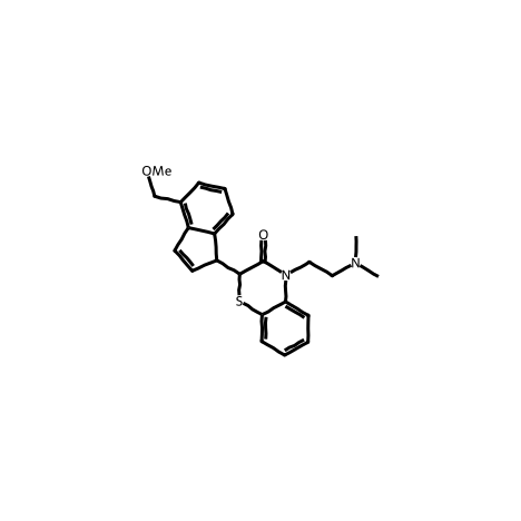 COCc1cccc2c1C=CC2C1Sc2ccccc2N(CCN(C)C)C1=O